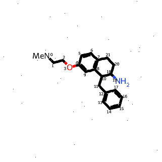 CNCCOc1ccc2c(c1)C(Cc1ccccc1)C(N)CC2